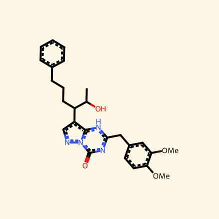 COc1ccc(Cc2nc(=O)n3ncc(C(CCCc4ccccc4)C(C)O)c3[nH]2)cc1OC